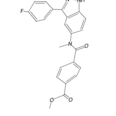 COC(=O)c1ccc(C(=O)N(C)c2ccc3[nH]nc(-c4ccc(F)cc4)c3c2)cc1